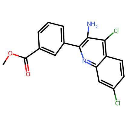 COC(=O)c1cccc(-c2nc3cc(Cl)ccc3c(Cl)c2N)c1